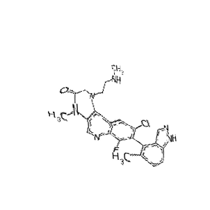 CNCCN1CC(=O)N(C)c2cnc3c(F)c(-c4c(C)ccc5[nH]ncc45)c(Cl)cc3c21